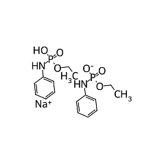 CCOP(=O)(O)Nc1ccccc1.CCOP(=O)([O-])Nc1ccccc1.[Na+]